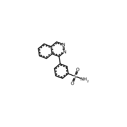 NS(=O)(=O)c1cccc(-c2nncc3ccccc23)c1